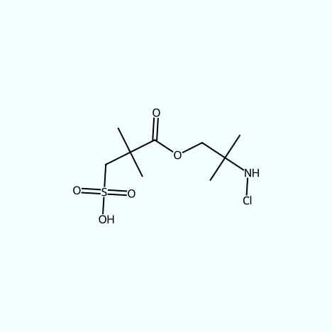 CC(C)(COC(=O)C(C)(C)CS(=O)(=O)O)NCl